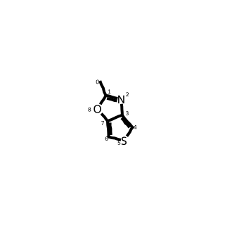 Cc1nc2cscc2o1